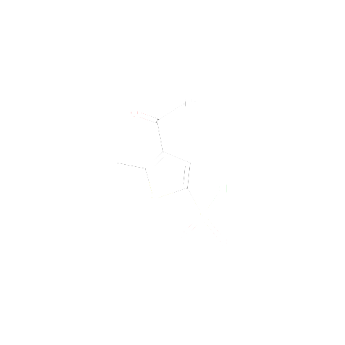 Cc1sc(S(=O)(=O)Cl)cc1C(=O)C(C)C